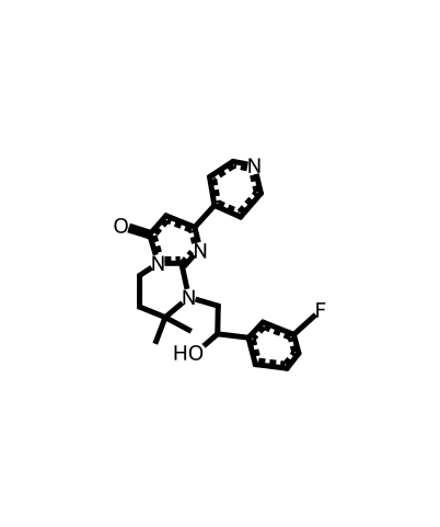 CC1(C)CCn2c(nc(-c3ccncc3)cc2=O)N1CC(O)c1cccc(F)c1